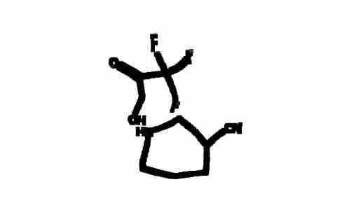 N#CC1CCCNC1.O=C(O)C(F)(F)F